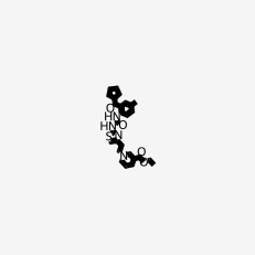 CCOC(=O)C1CCCN(CCc2csc(NC(=O)Nc3ccc(C)cc3C(=O)C3CCCC3)n2)C1